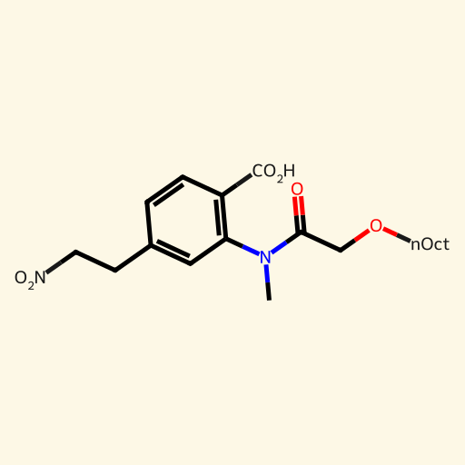 CCCCCCCCOCC(=O)N(C)c1cc(CC[N+](=O)[O-])ccc1C(=O)O